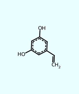 C=Cc1cc(O)cc(O)c1